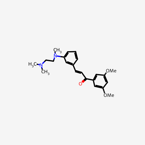 COc1cc(OC)cc(C(=O)/C=C/c2cccc(N(C)CCN(C)C)c2)c1